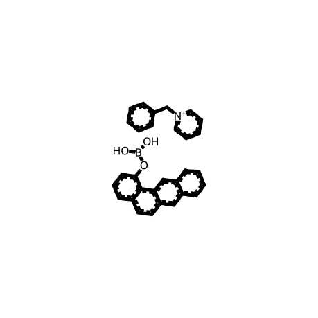 OB(O)Oc1cccc2ccc3cc4ccccc4cc3c12.c1ccc(C[n+]2ccccc2)cc1